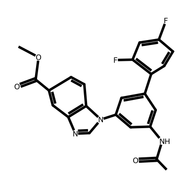 COC(=O)c1ccc2c(c1)ncn2-c1cc(NC(C)=O)cc(-c2ccc(F)cc2F)c1